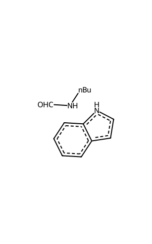 CCCCNC=O.c1ccc2[nH]ccc2c1